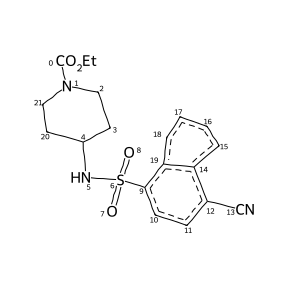 CCOC(=O)N1CCC(NS(=O)(=O)c2ccc(C#N)c3ccccc23)CC1